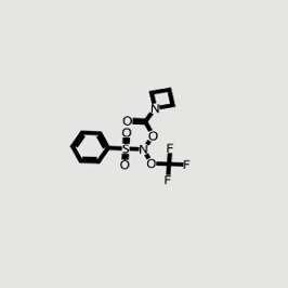 O=C(ON(OC(F)(F)F)S(=O)(=O)c1ccccc1)N1CCC1